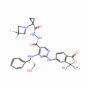 CC1(C)OC(=O)c2ccc(Nc3ncc(C(=O)NNC(=O)C4(N5CC(F)(F)C5)CC4)c(N[C@H](CO)c4ccccc4)n3)cc21